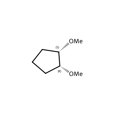 CO[C@H]1CCC[C@H]1OC